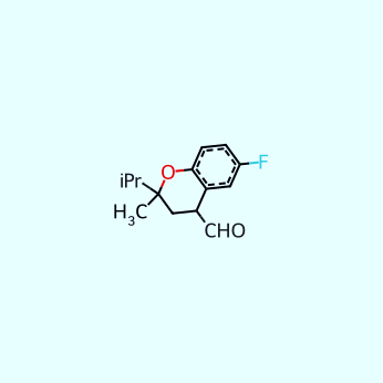 CC(C)C1(C)CC(C=O)c2cc(F)ccc2O1